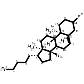 CC(C)CCCC[C@H]1CC[C@H]2[C@@H]3CC=C4CC(F)CC[C@]4(C)[C@H]3CC[C@]12C